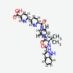 CC(C)(C)C(NC(=O)c1cc2ccccc2[nH]1)C(=O)N1C[C@@H]2C[C@H]1CN2C(=O)c1ccc(-c2ccc(C(=O)O)cn2)cn1